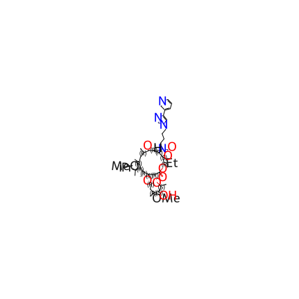 CC[C@H]1OC(=O)[C@H](C)[C@@H](O[C@H]2C[C@@](C)(OC)[C@@H](O)[C@H](C)O2)[C@H](C)[C@@H](C(C)C(C)C)[C@](C)(OC)C[C@@H](C)C(=O)[C@H](C)[C@H]2N(CCCCn3cnc(-c4cccnc4)c3)C(=O)O[C@]12C